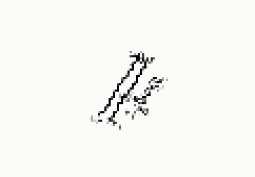 CC(=O)OCC(COC(C)=O)OC(C)=O.CCCCCCCCCCCCCCCCCC(=O)[O-].CCCCCCCCCCCCCCCCCC(=O)[O-].[Ca+2]